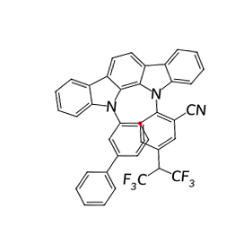 N#Cc1cc(C(C(F)(F)F)C(F)(F)F)ccc1-n1c2ccccc2c2ccc3c4ccccc4n(-c4cccc(-c5ccccc5)c4)c3c21